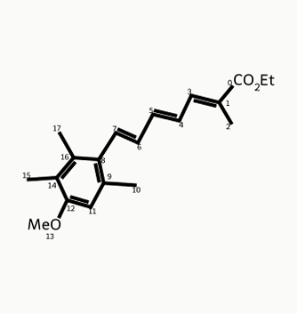 CCOC(=O)/C(C)=C/C=C/C=C/c1c(C)cc(OC)c(C)c1C